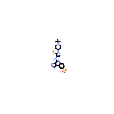 COc1c(Nc2nc3ccc(S(C)(=O)=O)cc3c3cn[nH]c23)cnn1C1CCN(C(C)(C)C)CC1